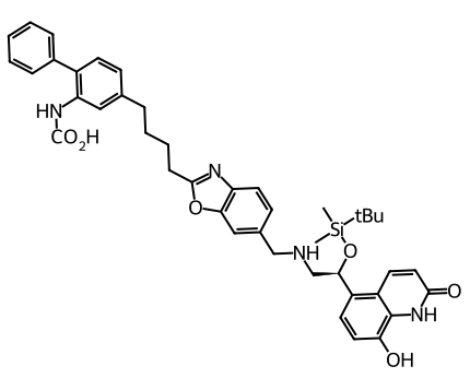 CC(C)(C)[Si](C)(C)O[C@H](CNCc1ccc2nc(CCCCc3ccc(-c4ccccc4)c(NC(=O)O)c3)oc2c1)c1ccc(O)c2[nH]c(=O)ccc12